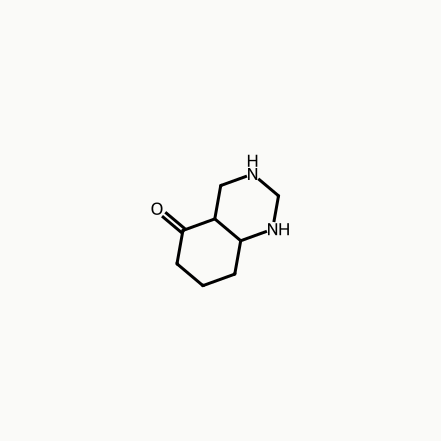 O=C1CCCC2NCNCC12